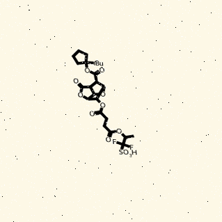 CCC(C)C1(OC(=O)C2C3OC4C(OC(=O)C42)C3OC(=O)CCC(=O)OC(C)C(F)(F)S(=O)(=O)O)CCCC1